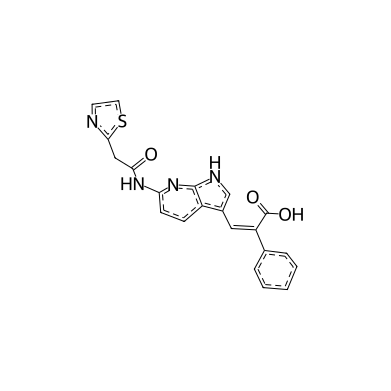 O=C(Cc1nccs1)Nc1ccc2c(/C=C(\C(=O)O)c3ccccc3)c[nH]c2n1